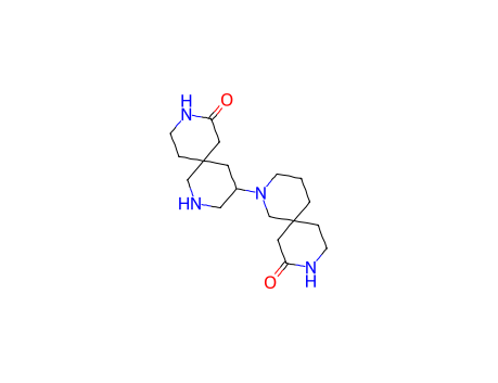 O=C1CC2(CCN1)CNCC(N1CCCC3(CCNC(=O)C3)C1)C2